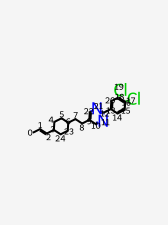 CC=CC1CCC(CCc2cnc(-c3ccc(Cl)c(Cl)c3)nc2)CC1